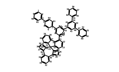 c1ccc(-c2ccc(-c3cc(-c4cccc5c4-c4ccccc4C54c5ccccc5-c5ccccc5-c5ccccc54)nc(-c4cc(-c5ccccc5)cc(-c5ccccc5)c4)n3)cc2)cc1